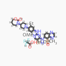 CCc1cc(Nc2ncc(Br)c(Nc3ccc4nccnc4c3P(C)(C)=O)n2)c(OC)cc1N1CCC(N2CCCCOC2=O)CC1.O=C(O)C(F)(F)F